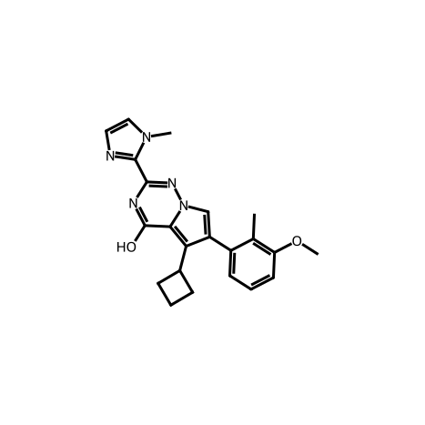 COc1cccc(-c2cn3nc(-c4nccn4C)nc(O)c3c2C2CCC2)c1C